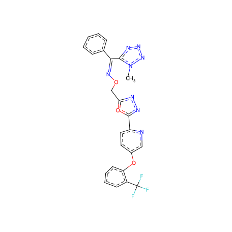 Cn1nnnc1/C(=N\OCc1nnc(-c2ccc(Oc3ccccc3C(F)(F)F)cn2)o1)c1ccccc1